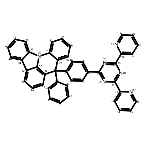 c1ccc(C2(c3ccc(-c4nc(-c5ccccn5)nc(-c5ccccn5)n4)cc3)c3ccccc3-n3c4ccccc4c4cccc2c43)cc1